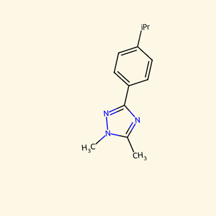 Cc1nc(-c2ccc(C(C)C)cc2)nn1C